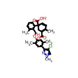 CC1=C(C(=O)O)CC(C(=O)O)(c2cccc(C)c2COc2cc(C)c(-c3nn(C)cc3Cl)cc2C)C=C1